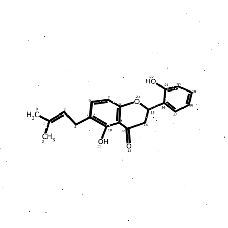 CC(C)=CCc1ccc2c(c1O)C(=O)CC(c1ccccc1O)O2